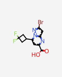 O=C(O)c1cc(C2CC(F)(F)C2)n2nc(Br)cc2n1